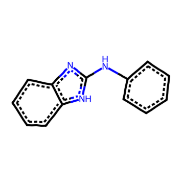 c1ccc(Nc2nc3ccccc3[nH]2)cc1